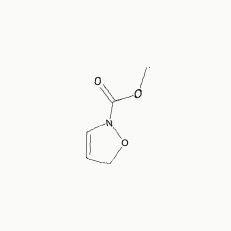 [CH2]OC(=O)N1C=CCO1